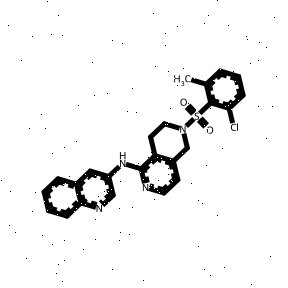 Cc1cccc(Cl)c1S(=O)(=O)N1CCc2c(ccnc2Nc2cnc3ccccc3c2)C1